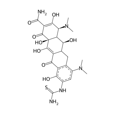 CN(C)c1cc(NC(N)=S)c(O)c2c1CC1C(=C(O)[C@]3(O)C(=O)C(C(N)=O)=C(O)[C@@H](N(C)C)C3[C@H]1O)C2=O